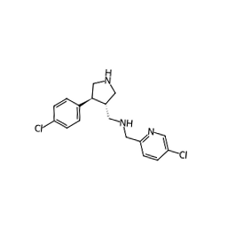 Clc1ccc([C@H]2CNC[C@@H]2CNCc2ccc(Cl)cn2)cc1